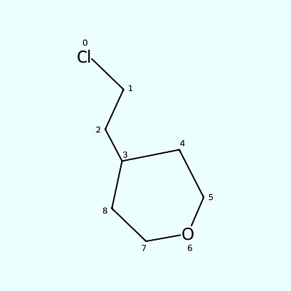 ClCCC1CCOCC1